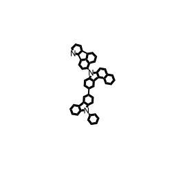 c1ccc(-n2c3ccccc3c3cc(-c4ccc5c(c4)c4c6ccccc6ccc4n5-c4ccc5c6c(cccc46)-c4cccnc4-5)ccc32)cc1